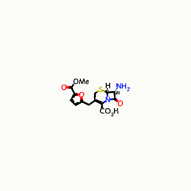 COC(=O)c1ccc(CC2=C(C(=O)O)N3C(=O)[C@@H](N)[C@@H]3SC2)o1